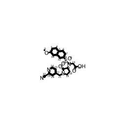 COc1ccc2ccc(S(=O)(=O)N(CC(=O)O)[C@H]3CCN(Cc4ccnc(C#N)c4)C3=O)cc2c1